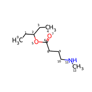 CCC(CC)OC(=O)CCCNC